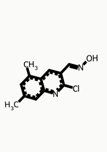 Cc1cc(C)c2cc(/C=N/O)c(Cl)nc2c1